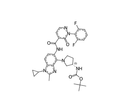 Cc1nc2c(N3CC[C@H](NC(=O)OC(C)(C)C)C3)c(NC(=O)c3ccnn(-c4c(F)cccc4F)c3=O)ccc2n1C1CC1